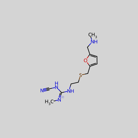 C/N=C(\NC#N)NCCSCc1ccc(CNC)o1